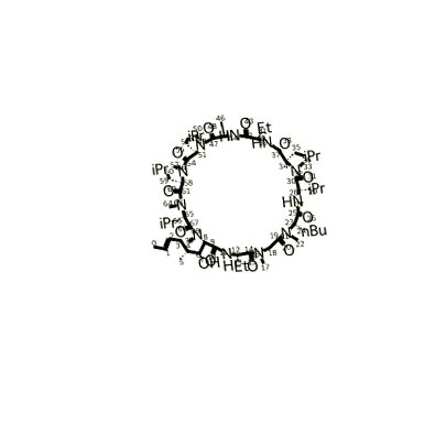 C/C=C/C[C@@H](C)[C@@H](O)[C@H]1C(=O)N[C@@H](CC)C(=O)N(C)CC(=O)N(C)[C@@H](CCCC)C(=O)N[C@@H](C(C)C)C(=O)N(C)[C@@H](CC(C)C)C(=O)N[C@@H](CC)C(=O)N[C@H](C)C(=O)N(C)[C@@H](CC(C)C)C(=O)N(C)[C@@H](CC(C)C)C(=O)N(C)[C@@H](C(C)C)C(=O)N1C